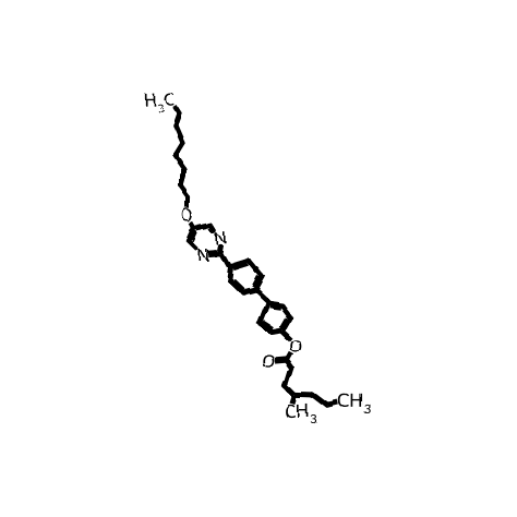 CCCCCCCCOc1cnc(-c2ccc(-c3ccc(OC(=O)CCC(C)CCC)cc3)cc2)nc1